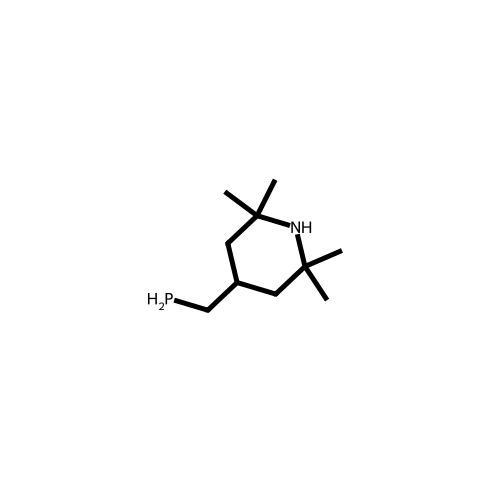 CC1(C)CC(CP)CC(C)(C)N1